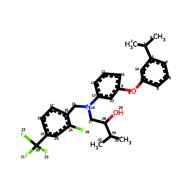 CC(C)c1cccc(Oc2cccc(N(Cc3ccc(C(F)(F)F)cc3F)CC(O)C(C)C)c2)c1